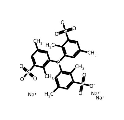 Cc1cc(P(c2cc(C)cc(S(=O)(=O)[O-])c2C)c2cc(C)cc(S(=O)(=O)[O-])c2C)c(C)c(S(=O)(=O)[O-])c1.[Na+].[Na+].[Na+]